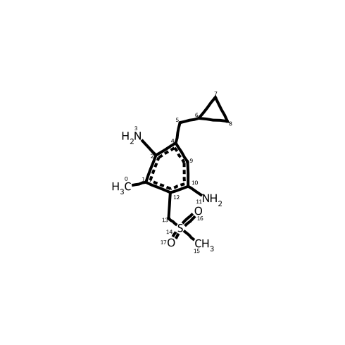 Cc1c(N)c(CC2CC2)cc(N)c1CS(C)(=O)=O